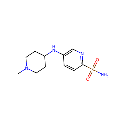 CN1CCC(Nc2ccc(S(N)(=O)=O)nc2)CC1